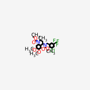 CCOC(=O)N1c2cc(OC)c(OC)cc2[C@H](N(Cc2cc(Cl)cc(C(F)(F)F)c2)C(=O)OC)C[C@@H]1C